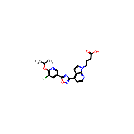 CC(C)Oc1ncc(-c2nc(-c3ccnc4c3ccn4CCCC(=O)O)no2)cc1Cl